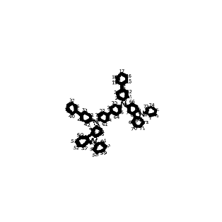 C1=CC(n2c3c(c4cc(N(c5ccc(-c6ccccc6)cc5)c5ccc(-c6ccc(N(c7ccc(-c8ccccc8)cc7)c7ccc8c(c7)c7ccccc7n8-c7ccccc7)cc6)cc5)ccc42)C=CCC3)=CCC1